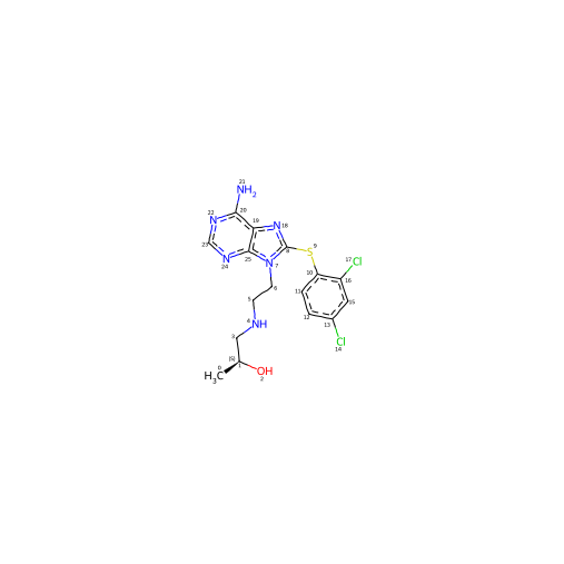 C[C@H](O)CNCCn1c(Sc2ccc(Cl)cc2Cl)nc2c(N)ncnc21